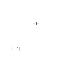 Cc1ccc([C](C)(C)[AlH2])cc1.[HH]